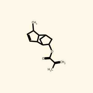 C=C(C)C(=O)OC1CC2CC1C1C=CC(C)C21